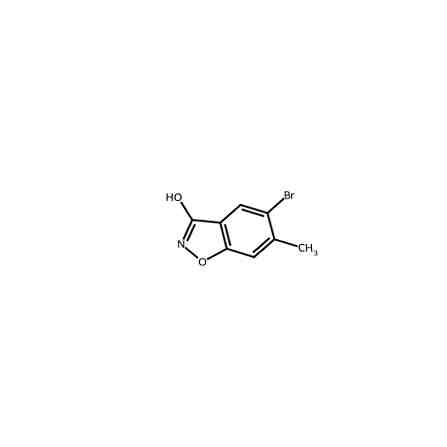 Cc1cc2onc(O)c2cc1Br